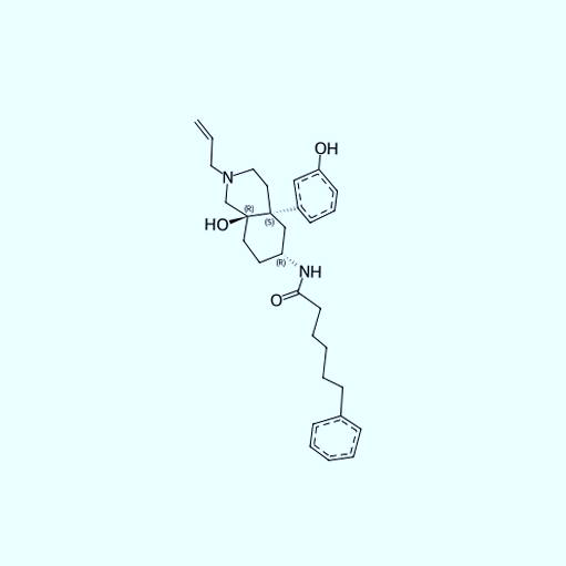 C=CCN1CC[C@@]2(c3cccc(O)c3)C[C@H](NC(=O)CCCCCc3ccccc3)CC[C@]2(O)C1